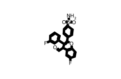 NS(=O)(=O)c1ccc(C2=C(c3cccc(F)c3)C(C=O)c3cc(F)ccc3O2)cc1